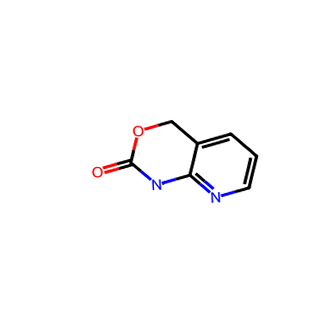 O=C1[N]c2ncccc2CO1